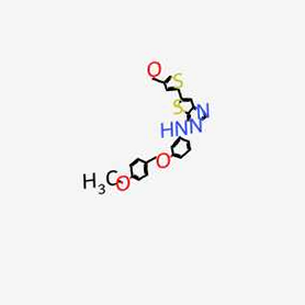 COc1ccc(COc2cccc(Nc3ncnc4cc(-c5cc(C=O)cs5)sc34)c2)cc1